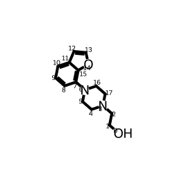 OCCN1CCN(c2cccc3ccoc23)CC1